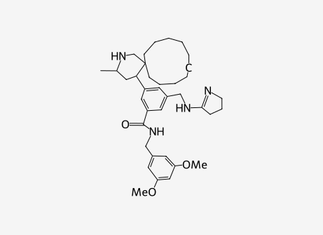 COc1cc(CNC(=O)c2cc(CNC3=NCCC3)cc(C3CC(C)NCC34CCCCCCCCCC4)c2)cc(OC)c1